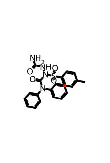 Cc1ccc(S(=O)(=O)N(NC(N)=O)C(=O)N(c2ccccc2)c2ccccc2)cc1